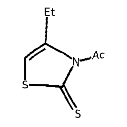 CCc1csc(=S)n1C(C)=O